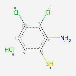 Cl.Nc1c(S)ccc(Cl)c1Cl